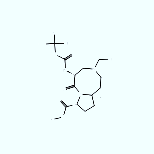 CCN1CC[C@H]2CC[C@@H](C(=O)OC)N2C(=O)[C@@H](NC(=O)OC(C)(C)C)C1